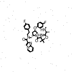 CN[C@@H](C)C(=O)N[C@H](C(=O)N1C[C@@H](Oc2ccc(F)cc2)C[C@H]1CN(CCc1ccc(F)cc1)C(=O)c1cn2ccccc2n1)C(C)(C)C